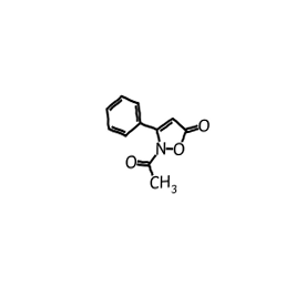 CC(=O)n1oc(=O)cc1-c1ccccc1